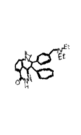 CCN(CC)Cc1ccc(C2Nc3cccc4c(=O)[nH]nc(c34)C2c2ccccc2)cc1